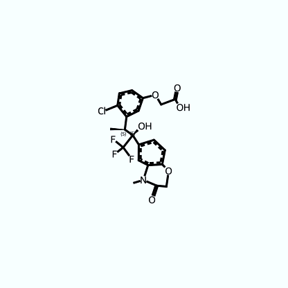 C[C@@H](c1cc(OCC(=O)O)ccc1Cl)[C@](O)(c1ccc2c(c1)N(C)C(=O)CO2)C(F)(F)F